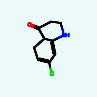 O=C1CCNC2=CC(Cl)=CCC12